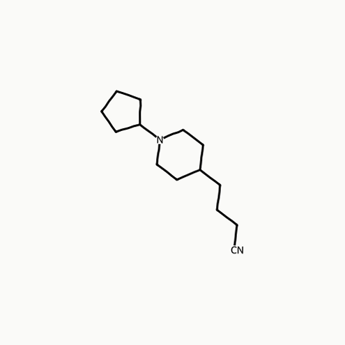 N#CCCCC1CCN(C2CCCC2)CC1